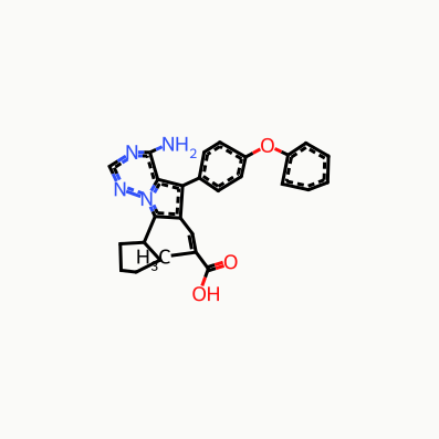 CC(=Cc1c(-c2ccc(Oc3ccccc3)cc2)c2c(N)ncnn2c1C1CCCC1)C(=O)O